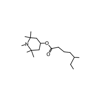 CCC(C)CCCC(=O)OC1CC(C)(C)N(C)C(C)(C)C1